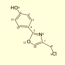 Oc1ccc(-c2nc(CCl)co2)cc1